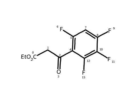 CCOC(=O)CC(=O)c1c(F)cc(F)c(F)c1F